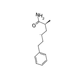 C[C@@H](C[CH]CCc1ccccc1)C(N)=O